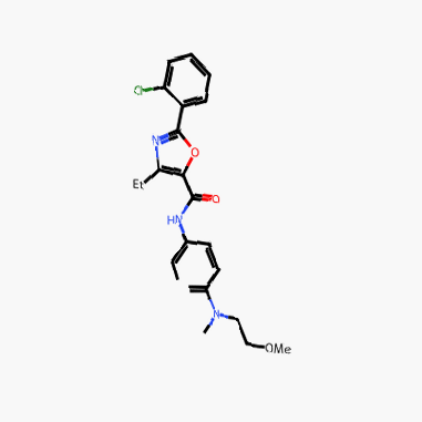 C=C(/C=C\C(=C/C)NC(=O)c1oc(-c2ccccc2Cl)nc1CC)N(C)CCOC